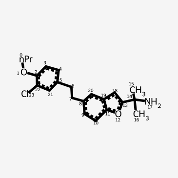 CCCOc1ccc(CCc2ccc3oc(C(C)(C)N)cc3c2)cc1Cl